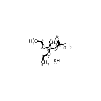 CCO[Si](C)(OCC)SC(C)=O.[KH]